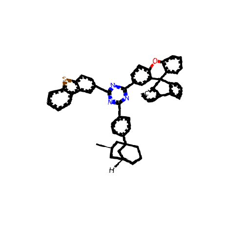 C[C@@H]1C[C@H]2CCCC(c3ccc(-c4nc(-c5ccc6c(c5)C5(c7ccccc7O6)c6ccccc6-c6ccccc65)nc(-c5ccc6sc7ccccc7c6c5)n4)cc3)(C1)C2